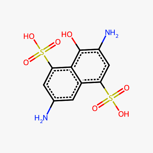 Nc1cc(S(=O)(=O)O)c2c(O)c(N)cc(S(=O)(=O)O)c2c1